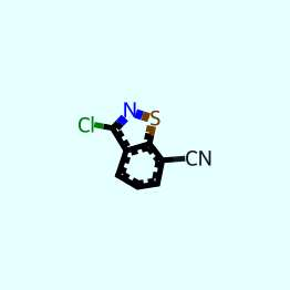 N#Cc1cccc2c(Cl)nsc12